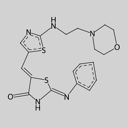 O=C1NC(=Nc2ccccc2)SC1=Cc1cnc(NCCN2CCOCC2)s1